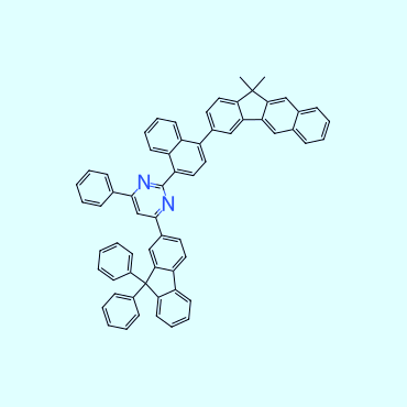 CC1(C)c2ccc(-c3ccc(-c4nc(-c5ccccc5)cc(-c5ccc6c(c5)C(c5ccccc5)(c5ccccc5)c5ccccc5-6)n4)c4ccccc34)cc2-c2cc3ccccc3cc21